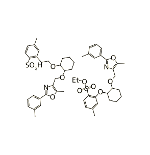 CCOS(=O)(=O)c1ccc(C)cc1O[C@@H]1CCCCC1OCc1nc(-c2cccc(C)c2)oc1C.Cc1cccc(-c2nc(COC3CCCCC3OCCc3cc(C)ccc3S(=O)(=O)O)c(C)o2)c1